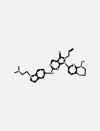 C=CCn1c(=O)c2cnc(Nc3ccc4c(ccn4CCN(C)C)c3)nc2n1-c1ccc2c(n1)N(CCC)CCO2